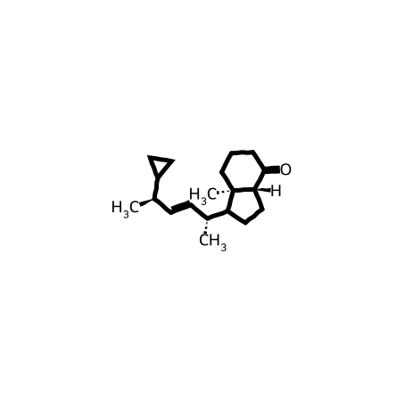 C[C@H](/C=C/[C@@H](C)C1CC[C@H]2C(=O)CCC[C@]12C)C1CC1